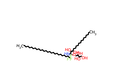 CCCCCCCCCCCCCCCCCCCCCCCCCC(N[C@@H](COC[C@H](O)[C@@H](O)CO)[C@H](O)[C@H](O)CCCCCCCCCCCCCC)C(F)(F)F